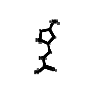 CC(C)C(=O)NC[C@@H]1C[C@H](N)CN1